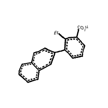 CCc1c(C(=O)O)cccc1-c1ccc2ccccc2c1